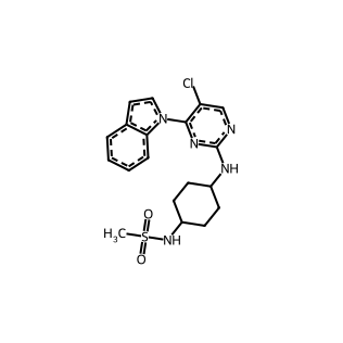 CS(=O)(=O)NC1CCC(Nc2ncc(Cl)c(-n3ccc4ccccc43)n2)CC1